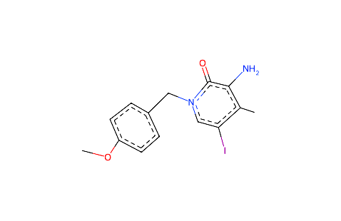 COc1ccc(Cn2cc(I)c(C)c(N)c2=O)cc1